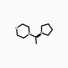 CC(N1CCOCC1)=[N+]1CCCC1